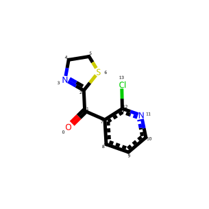 O=C(C1=NCCS1)c1cccnc1Cl